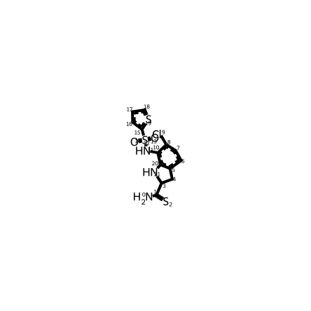 NC(=S)C1Cc2ccc(Cl)c(NS(=O)(=O)c3cccs3)c2N1